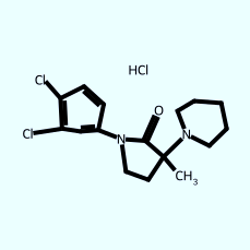 CC1(N2CCCCC2)CCN(c2ccc(Cl)c(Cl)c2)C1=O.Cl